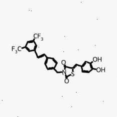 O=C1S/C(=C\c2ccc(O)c(O)c2)C(=O)N1Cc1ccc(/C=C/c2cc(C(F)(F)F)cc(C(F)(F)F)c2)cc1